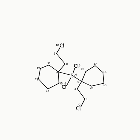 ClCCC1([Si](Cl)(Cl)C2(CCCl)CCCCC2)CCCCC1